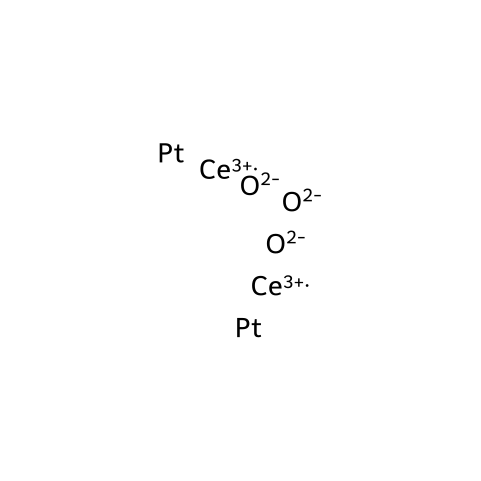 [Ce+3].[Ce+3].[O-2].[O-2].[O-2].[Pt].[Pt]